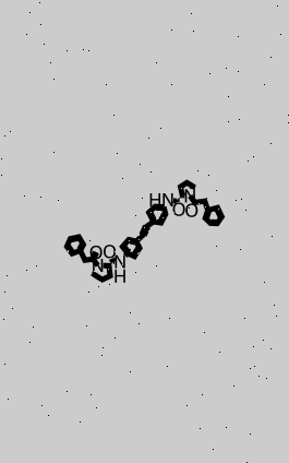 O=C(Nc1ccc(C#Cc2ccc(NC(=O)[C@@H]3CCCN3C(=O)Cc3ccccc3)cc2)cc1)[C@@H]1CCCN1C(=O)Cc1ccccc1